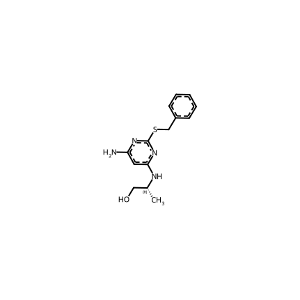 C[C@H](CO)Nc1cc(N)nc(SCc2ccccc2)n1